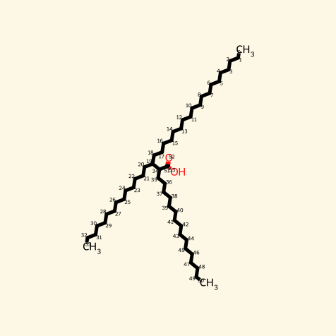 CCCCCCCCCCCCCCCCCCCC(CCCCCCCCCCCCCC)C(CCCCCCCCCCCCCCCC)C(=O)O